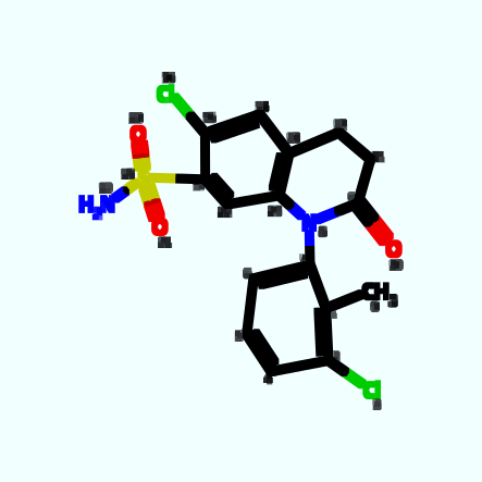 Cc1c(Cl)cccc1N1C(=O)CCc2cc(Cl)c(S(N)(=O)=O)cc21